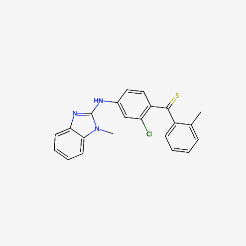 Cc1ccccc1C(=S)c1ccc(Nc2nc3ccccc3n2C)cc1Cl